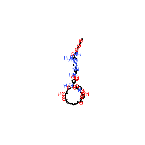 CCOCCOCCOCCNC(=O)c1cnc(N2CCN(c3ncc(CNC(=O)O[C@@H]4CC[C@@H](C[C@@H](N)[C@@H]5C[C@@H](OC)[C@H](C)/C=C(\C)[C@@H](O)[C@@H](OC)C(=O)[C@H](C)C[C@H](C)/C=C/C=C/C=C(\C)C(OC)C[C@@H]6CC[C@@H](C)[C@@](O)(O6)C(=O)C(=O)N6CCCC[C@H]6C(=O)O5)C[C@H]4OC)cn3)CC2)nc1N